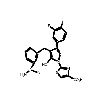 N[S+]([O-])c1cccc(Cc2c(-c3ccc(F)c(F)c3)nn(-c3nc(C(=O)O)cs3)c2O)c1